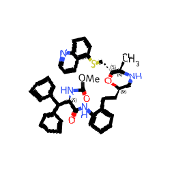 COC(=O)N[C@H](C(=O)Nc1ccccc1CC[C@@H]1CN[C@H](C)[C@@H](CSc2cccc3ncccc23)O1)C(c1ccccc1)c1ccccc1